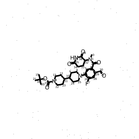 CN(C(=O)c1cc(N2CCC(C3CCN(C(=O)OC(C)(C)C)CC3)CC2)c(F)cc1C=O)C1CCC(=O)NC1=O